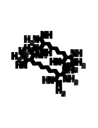 N=C(N)C(CCCCCC(C(=N)N)C(=N)N)C(=N)N.N=C(N)C(CCCCCCC(C(=N)N)C(=N)N)C(=N)N